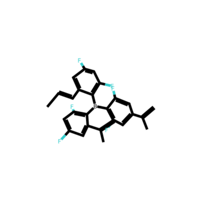 C=C(C)c1cc(F)c(B(c2c(F)cc(F)cc2/C=C/C)c2c(F)cc(F)cc2C(=C)C)c(F)c1